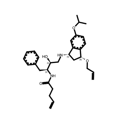 C=CCCC(=O)N[C@@H](Cc1ccccc1)[C@@H](O)CN[C@H]1C[C@@H](OCC=C)c2ccc(OC(C)C)cc21